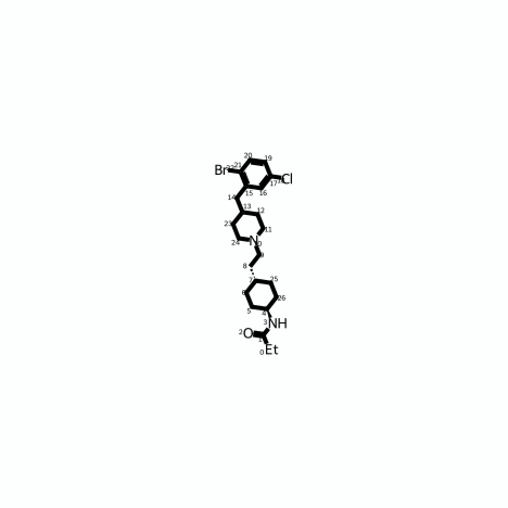 CCC(=O)N[C@H]1CC[C@H](CCN2CCC(Cc3cc(Cl)ccc3Br)CC2)CC1